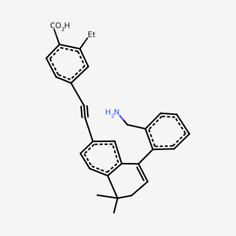 CCc1cc(C#Cc2ccc3c(c2)C(c2ccccc2CN)=CCC3(C)C)ccc1C(=O)O